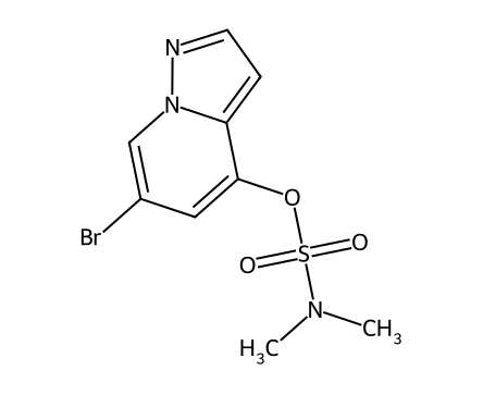 CN(C)S(=O)(=O)Oc1cc(Br)cn2nccc12